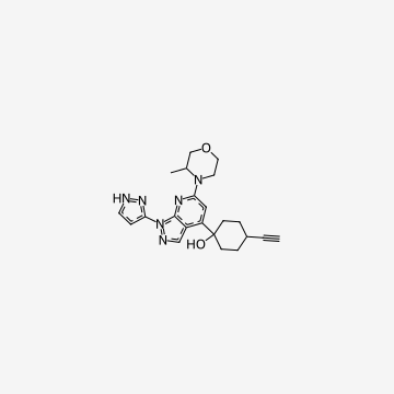 C#CC1CCC(O)(c2cc(N3CCOCC3C)nc3c2cnn3-c2cc[nH]n2)CC1